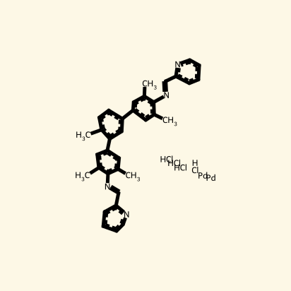 Cc1ccc(-c2cc(C)c(N=Cc3ccccn3)c(C)c2)cc1-c1cc(C)c(N=Cc2ccccn2)c(C)c1.Cl.Cl.Cl.Cl.[Pd].[Pd]